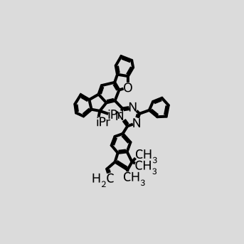 C=CC1=C(C)C(C)(C)c2cc(-c3nc(-c4ccccc4)nc(-c4c5c(cc6c4oc4ccccc46)-c4ccccc4C5(C(C)C)C(C)C)n3)ccc21